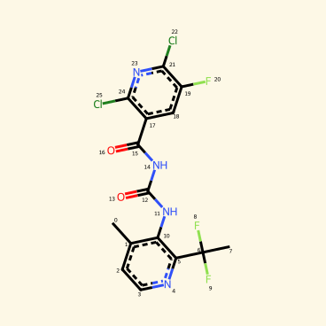 Cc1ccnc(C(C)(F)F)c1NC(=O)NC(=O)c1cc(F)c(Cl)nc1Cl